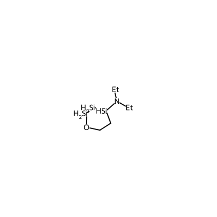 CCN(CC)[SiH]1CCO[SiH2][SiH2]1